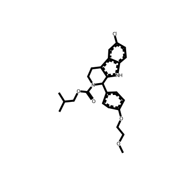 COCCOc1ccc(C2c3[nH]c4ccc(Cl)cc4c3CCN2C(=O)OCC(C)C)cc1